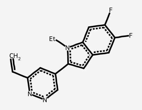 C=Cc1cc(-c2cc3cc(F)c(F)cc3n2CC)cnn1